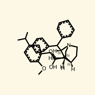 COc1ccc(C(C)C)cc1CN[C@H]1[C@H]2CCN(C[C@@H]2C(=O)O)[C@H]1C(c1ccccc1)c1ccccc1